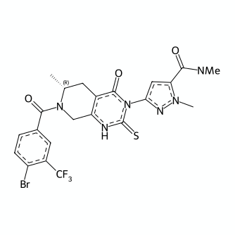 CNC(=O)c1cc(-n2c(=S)[nH]c3c(c2=O)C[C@@H](C)N(C(=O)c2ccc(Br)c(C(F)(F)F)c2)C3)nn1C